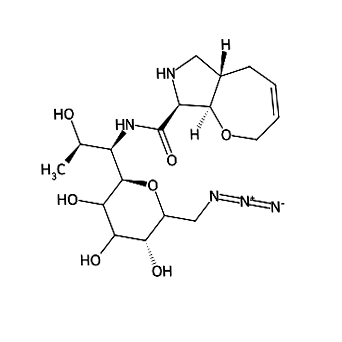 C[C@@H](O)[C@@H](NC(=O)[C@H]1NC[C@@H]2CC=CCO[C@H]21)[C@H]1OC(CN=[N+]=[N-])[C@H](O)C(O)C1O